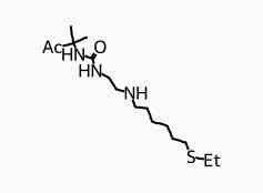 CCSCCCCCCNCCNC(=O)NC(C)(C)C(C)=O